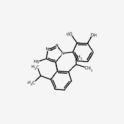 CC(C)c1cccc(C(C)C)c1-c1c(S)nnn1-c1cccc(O)c1O